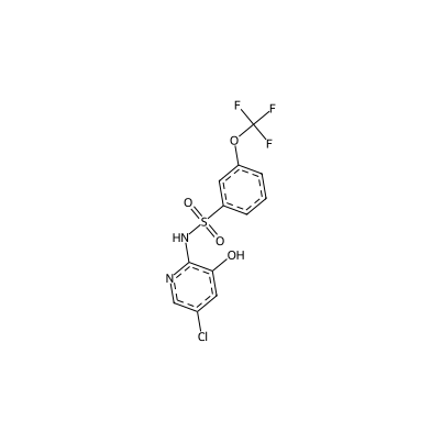 O=S(=O)(Nc1ncc(Cl)cc1O)c1cccc(OC(F)(F)F)c1